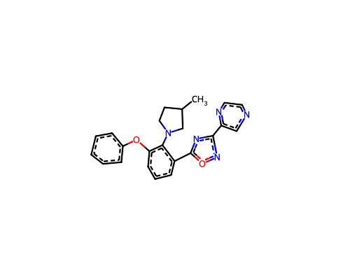 CC1CCN(c2c(Oc3ccccc3)cccc2-c2nc(-c3cnccn3)no2)C1